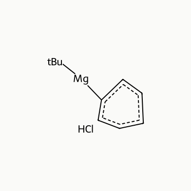 C[C](C)(C)[Mg][c]1ccccc1.Cl